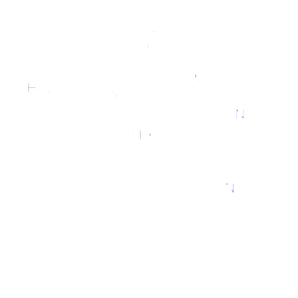 CCOC(=O)C(C)(C)c1nccnc1C#Cc1ccccc1